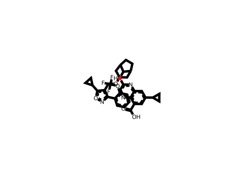 O=C(O)c1cc(C2CC2)cc2nc(NC3C4CCC3CC(OCc3c(-c5ccccc5OC(F)(F)F)noc3C3CC3)C4)cnc12